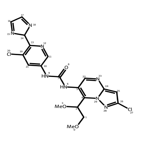 COCC(OC)c1c(NC(=O)Nc2cnc(C3N=CC=N3)c(Cl)c2)cnc2cc(Cl)nn12